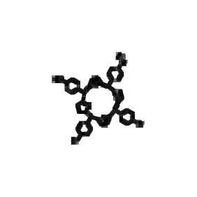 Oc1ccc(-c2c3nc(c(-c4ccc(Br)cc4)c4ccc([nH]4)c(-c4ccc(Br)cc4)c4nc(c(-c5ccc(Br)cc5)c5ccc2[nH]5)C=C4)C=C3)cc1.[Zn]